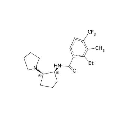 CCc1c(C(=O)N[C@H]2CCC[C@H]2N2CCCC2)ccc(C(F)(F)F)c1C